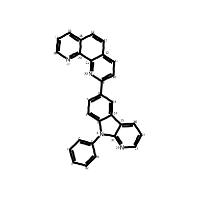 c1ccc(-n2c3ccc(-c4ccc5ccc6cccnc6c5n4)cc3c3cccnc32)cc1